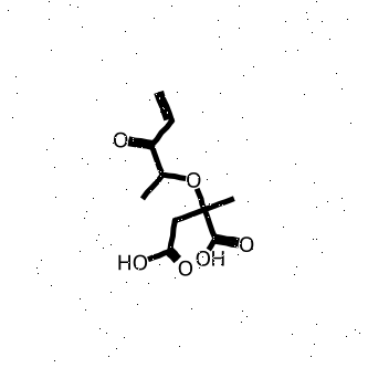 C=CC(=O)C(C)OC(C)(CC(=O)O)C(=O)O